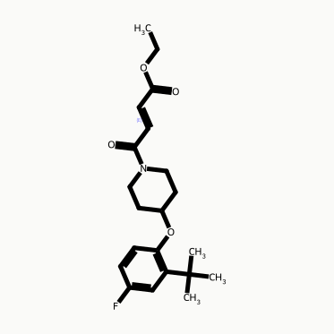 CCOC(=O)/C=C/C(=O)N1CCC(Oc2ccc(F)cc2C(C)(C)C)CC1